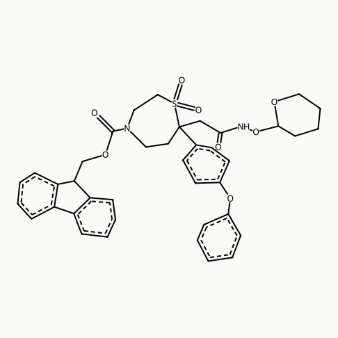 O=C(CC1(c2ccc(Oc3ccccc3)cc2)CCN(C(=O)OCC2c3ccccc3-c3ccccc32)CCS1(=O)=O)NOC1CCCCO1